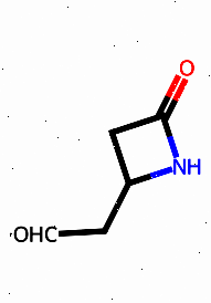 O=[C]CC1CC(=O)N1